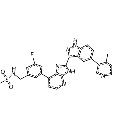 Cc1ccncc1-c1ccc2[nH]nc(-c3nc4c(-c5cc(F)cc(CNS(C)(=O)=O)c5)ccnc4[nH]3)c2c1